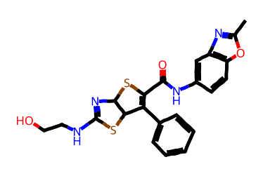 Cc1nc2cc(NC(=O)C3=C(c4ccccc4)C4SC(NCCO)=NC4S3)ccc2o1